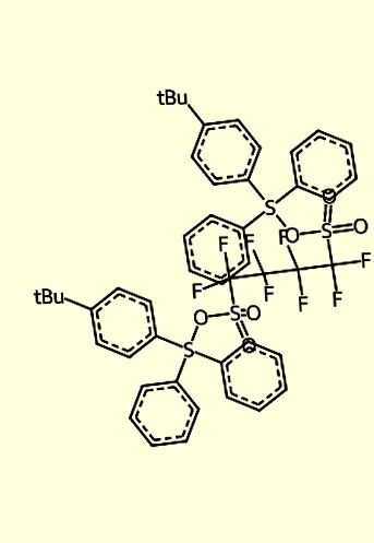 CC(C)(C)c1ccc(S(OS(=O)(=O)C(F)(F)C(F)(F)C(F)(F)C(F)(F)S(=O)(=O)OS(c2ccccc2)(c2ccccc2)c2ccc(C(C)(C)C)cc2)(c2ccccc2)c2ccccc2)cc1